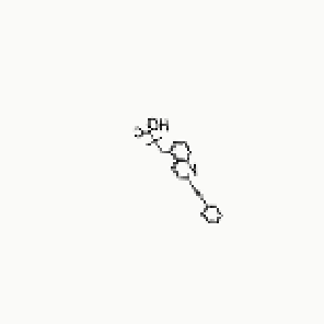 CC(C)(Cc1cccc2nc(C#Cc3ccccc3)ccc12)C(=O)O